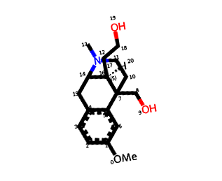 COc1ccc2c(c1)C1(CO)CCN(C)C(C2)[C@H]1CCO